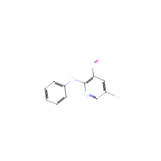 O=Nc1cc(Br)cnc1Nc1ccccc1